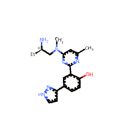 CC[C@@H](N)CN(C)c1cc(C)nc(-c2cc(-c3cc[nH]n3)ccc2O)n1